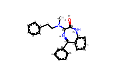 CN(CCc1ccccc1)C1N=C(c2ccccc2)c2ccccc2NC1=O